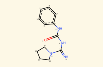 N=C(NC(=O)Nc1ccccc1)N1CCCC1